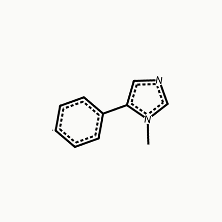 Cn1cncc1-c1cc[c]cc1